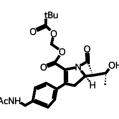 CC(=O)NCc1ccc(C2=C(C(=O)OCOC(=O)C(C)(C)C)N3C(=O)[C@H]([C@@H](C)O)[C@H]3C2)cc1